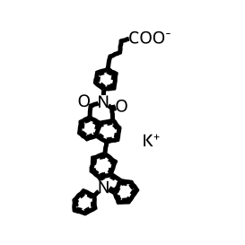 O=C([O-])CCCc1ccc(N2C(=O)c3cccc4c(-c5ccc6c(c5)c5ccccc5n6-c5ccccc5)ccc(c34)C2=O)cc1.[K+]